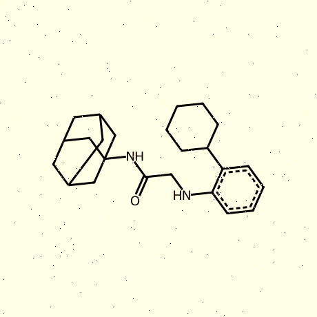 O=C(CNc1ccccc1C1CCCCC1)NC12CC3CC(CC(C3)C1)C2